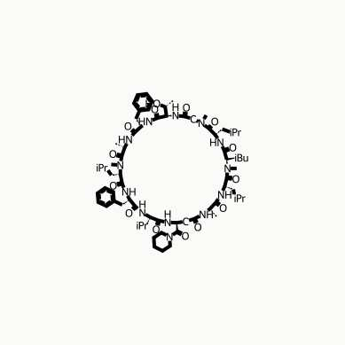 CC[C@H](C)[C@H]1C(=O)N[C@@H](CC(C)C)C(=O)N(C)CC(=O)N[C@@H]([C@@H](C)O)C(=O)N[C@@H](Cc2ccccc2)C(=O)N[C@@H](C)C(=O)N(C)[C@@H](CC(C)C)C(=O)N[C@@H](Cc2ccccc2)C(=O)N[C@@H](C(C)C)C(=O)N[C@H](C(=O)N2CCCCC2)CC(=O)N[C@@H](C)C(=O)N[C@@H](CC(C)C)C(=O)N1C